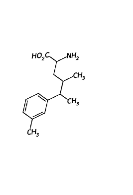 Cc1cccc(C(C)C(C)CC(N)C(=O)O)c1